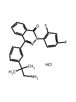 CC(C)(CN)c1cccc(-c2nn(-c3ccc(F)cc3F)c(=O)c3ccccc23)c1.Cl